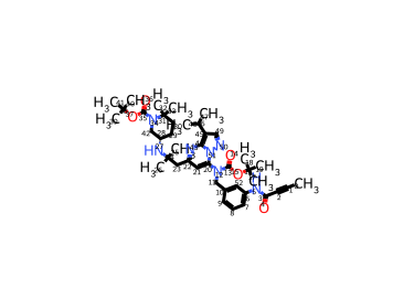 CC#CC(=O)Nc1cccc(CN(C(=O)OC(C)(C)C)c2cc(CC(C)(C)N[C@H]3CCC(C)(C)N(C(=O)OC(C)(C)C)C3)nc3c(C(C)C)cnn23)c1